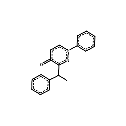 CC(c1c[c]ccc1)c1nn(-c2ccccc2)ccc1=O